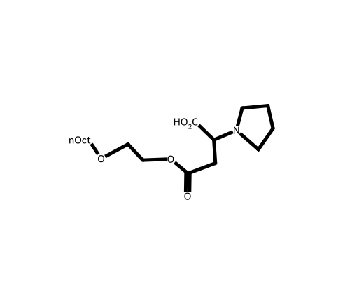 CCCCCCCCOCCOC(=O)CC(C(=O)O)N1CCCC1